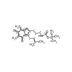 CC(C)=CCn1c(CCCNC(=O)OC(C)(C)C)nc2c1c(=O)n(C)c(=O)n2C